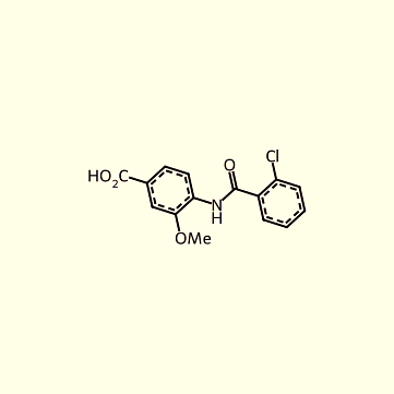 COc1cc(C(=O)O)ccc1NC(=O)c1ccccc1Cl